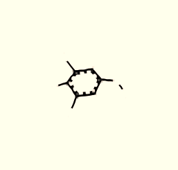 CCOc1cc(CC)c(O)c(CC)c1